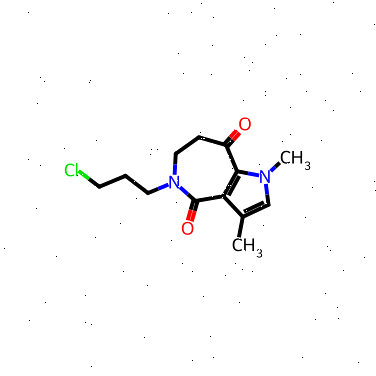 Cc1cn(C)c2c1C(=O)N(CCCCl)CCC2=O